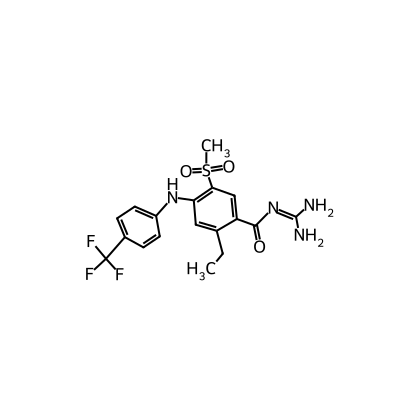 CCc1cc(Nc2ccc(C(F)(F)F)cc2)c(S(C)(=O)=O)cc1C(=O)N=C(N)N